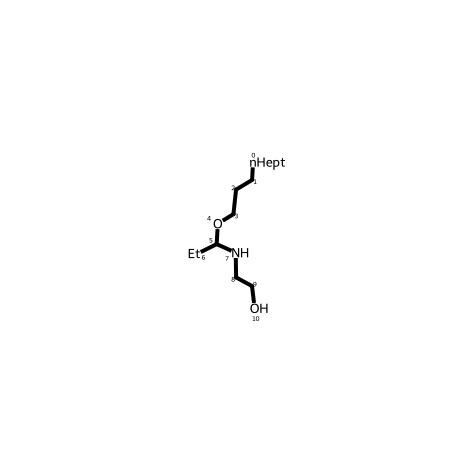 CCCCCCCCCCOC(CC)NCCO